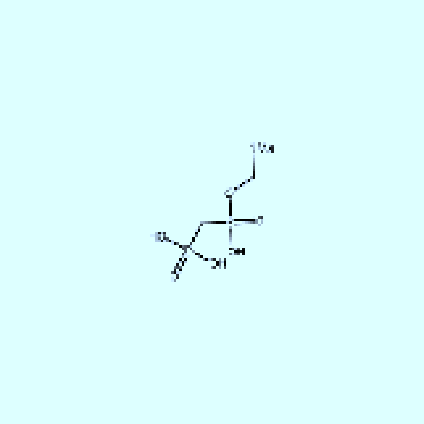 CNCOP(=O)(O)CP(=O)(O)O